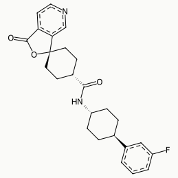 O=C1O[C@]2(CC[C@@H](C(=O)N[C@H]3CC[C@H](c4cccc(F)c4)CC3)CC2)c2cnccc21